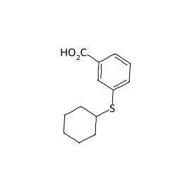 O=C(O)c1cccc(SC2CCCCC2)c1